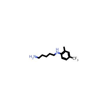 Cc1cc(C(F)(F)F)ccc1NCCCCCN